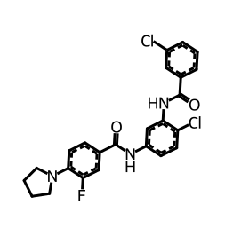 O=C(Nc1ccc(Cl)c(NC(=O)c2cccc(Cl)c2)c1)c1ccc(N2CCCC2)c(F)c1